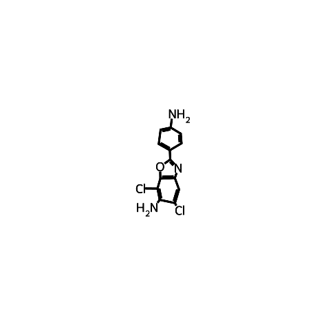 Nc1ccc(-c2nc3cc(Cl)c(N)c(Cl)c3o2)cc1